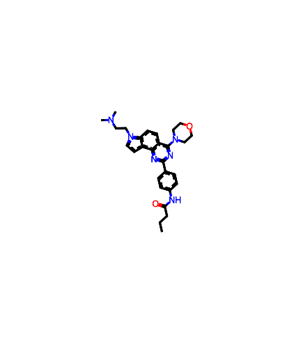 CCCC(=O)Nc1ccc(-c2nc(N3CCOCC3)c3ccc4c(ccn4CCN(C)C)c3n2)cc1